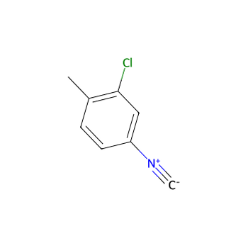 [C-]#[N+]c1ccc(C)c(Cl)c1